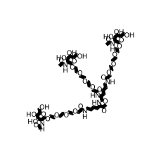 CC(=O)NC1C(O)[C@@H](O)C(CO)O[C@H]1OCCOCCOCCOCC(=O)NCCCCC(NC(=O)C(CCCCNC(=O)COCCOCCOCCO[C@@H]1OC(CO)[C@H](O)C(O)C1NC(C)=O)NC(=O)COCCOCCOCCO[C@@H]1OC(CO)[C@H](O)C(O)C1NC(C)=O)C(C)=O